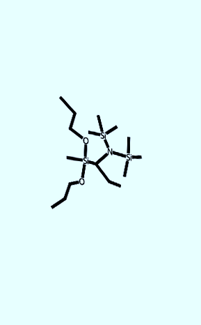 CCCO[Si](C)(OCCC)C(CC)N([Si](C)(C)C)[Si](C)(C)C